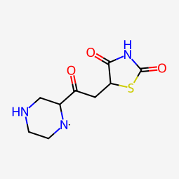 O=C1NC(=O)C(CC(=O)C2CNCC[N]2)S1